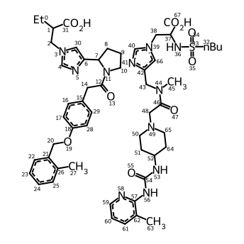 CCC(Cn1cnc(C2CCCN2C(=O)Cc2ccc(OCc3ccccc3C)cc2)c1)C(=O)O.CCCCS(=O)(=O)NC(Cn1cnc(CN(C)C(=O)CN2CCC(NC(=O)Nc3ncccc3C)CC2)c1)C(=O)O